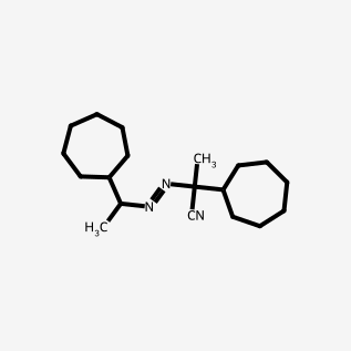 CC(/N=N/C(C)(C#N)C1CCCCCC1)C1CCCCCC1